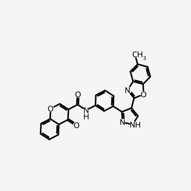 Cc1ccc2oc(-c3c[nH]nc3-c3cccc(NC(=O)c4coc5ccccc5c4=O)c3)nc2c1